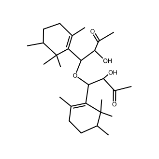 CC(=O)C(O)C(OC(C1=C(C)CCC(C)C1(C)C)C(O)C(C)=O)C1=C(C)CCC(C)C1(C)C